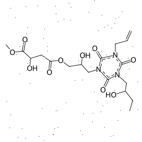 C=CCn1c(=O)n(CC(O)CC)c(=O)n(CC(O)COC(=O)CC(O)C(=O)OC)c1=O